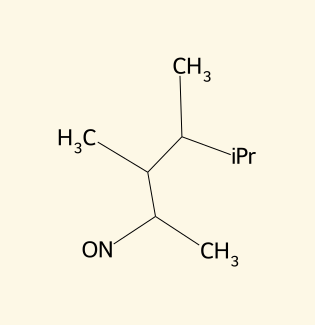 CC(C)C(C)C(C)C(C)N=O